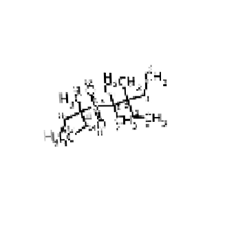 CCC(C)(CC)C(C)(C)S(=O)(=O)C(C)(CC)CC